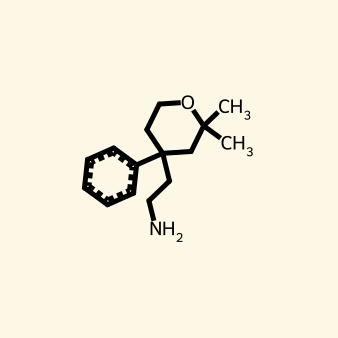 CC1(C)CC(CCN)(c2ccccc2)CCO1